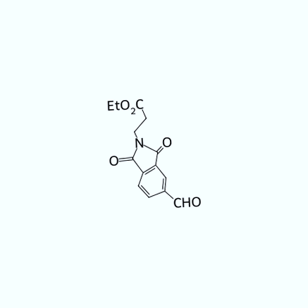 CCOC(=O)CCN1C(=O)c2ccc(C=O)cc2C1=O